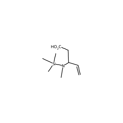 C=CC(CC(=O)O)N(C)[Si](C)(C)C